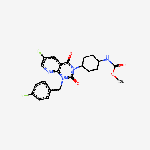 CC(C)(C)OC(=O)NC1CCC(n2c(=O)c3cc(F)cnc3n(Cc3ccc(F)cc3)c2=O)CC1